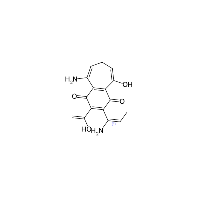 C=C(O)C1=C(/C(N)=C\C)C(=O)C2=C(C1=O)C(N)=CCC=C2O